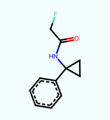 O=C(CF)NC1(c2ccccc2)CC1